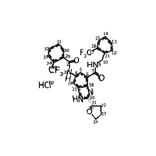 Cl.O=C(Nc1cc(C(=O)NCc2ccccc2C(F)(F)F)c2nc([C@@H]3CCCO3)[nH]c2c1)c1ccccc1C(F)(F)F